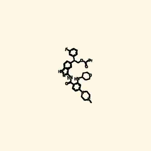 CC(C)C(=O)OCC(c1cccc(F)c1)c1ccc2[nH]nc(NC(=O)c3ccc(N4CCN(C)CC4)cc3NC3CCOCC3)c2c1